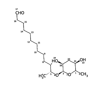 CC1O[C@@H](O[C@H](C)CCCCCCCCCCC=O)[C@@H](O)C[C@H]1O